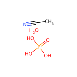 CC#N.O.O=P(O)(O)O